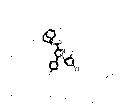 O=C(NC12CC=CC(CCC1)C2)C1=NN(c2ccc(Cl)cc2Cl)C(c2ccc(F)cc2)C1